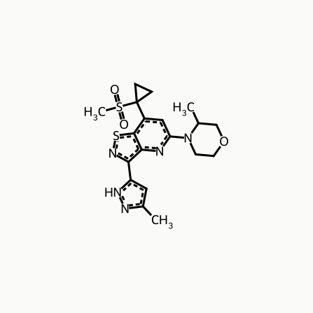 Cc1cc(-c2nsc3c(C4(S(C)(=O)=O)CC4)cc(N4CCOCC4C)nc23)[nH]n1